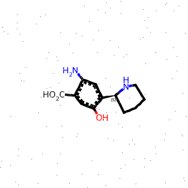 Nc1cc([C@@H]2CCCCN2)c(O)cc1C(=O)O